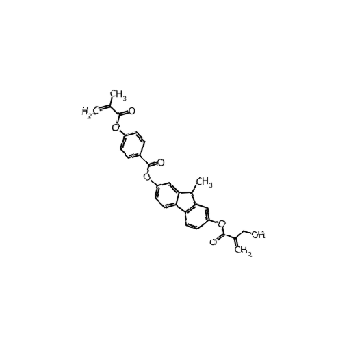 C=C(C)C(=O)Oc1ccc(C(=O)Oc2ccc3c(c2)C(C)c2cc(OC(=O)C(=C)CO)ccc2-3)cc1